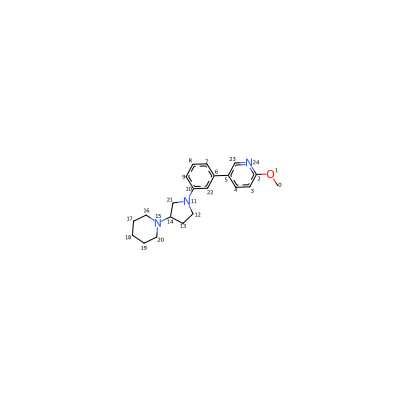 COc1ccc(-c2cccc(N3CCC(N4CCCCC4)C3)c2)cn1